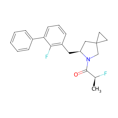 C[C@H](F)C(=O)N1CC2(CC2)C[C@@H]1Cc1cccc(-c2ccccc2)c1F